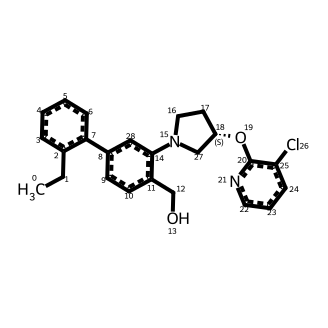 CCc1ccccc1-c1ccc(CO)c(N2CC[C@H](Oc3ncccc3Cl)C2)c1